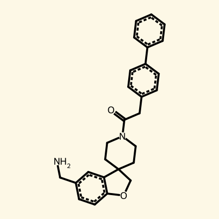 NCc1ccc2c(c1)C1(CCN(C(=O)Cc3ccc(-c4ccccc4)cc3)CC1)CO2